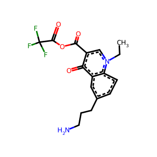 CCn1cc(C(=O)OC(=O)C(F)(F)F)c(=O)c2cc(CCCN)ccc21